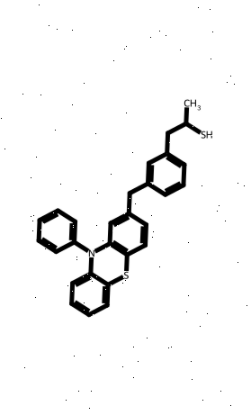 CC(S)Cc1cccc(Cc2ccc3c(c2)N(c2ccccc2)c2ccccc2S3)c1